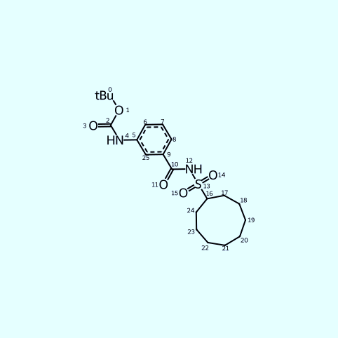 CC(C)(C)OC(=O)Nc1cccc(C(=O)NS(=O)(=O)C2CCCCCCCC2)c1